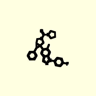 Cc1cc2c(cnn2-c2ccc(F)cc2)cc1C12CN(C(=O)N3CCCC3)CC1C2c1ccccc1